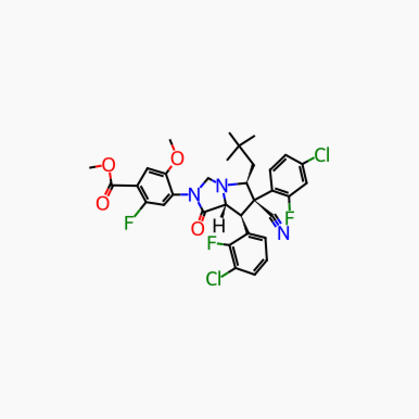 COC(=O)c1cc(OC)c(N2CN3[C@@H](CC(C)(C)C)[C@](C#N)(c4ccc(Cl)cc4F)[C@@H](c4cccc(Cl)c4F)[C@@H]3C2=O)cc1F